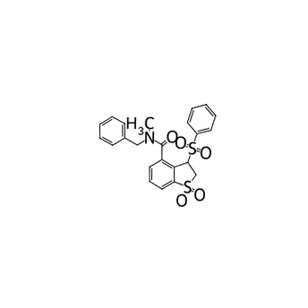 CN(Cc1ccccc1)C(=O)c1cccc2c1C(S(=O)(=O)c1ccccc1)CS2(=O)=O